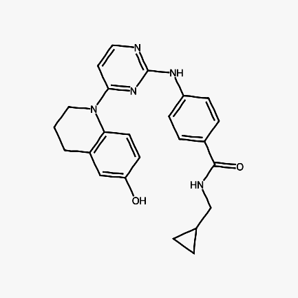 O=C(NCC1CC1)c1ccc(Nc2nccc(N3CCCc4cc(O)ccc43)n2)cc1